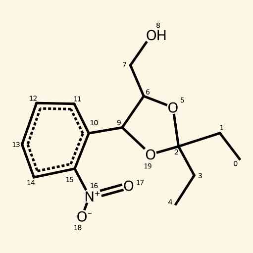 CCC1(CC)OC(CO)C(c2ccccc2[N+](=O)[O-])O1